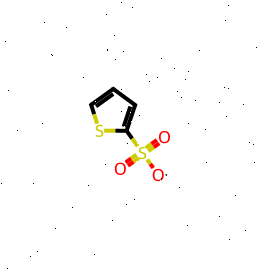 [O]S(=O)(=O)c1cccs1